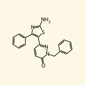 Nc1nc(-c2ccccc2)c(-c2ccc(=O)n(Cc3ccccc3)n2)s1